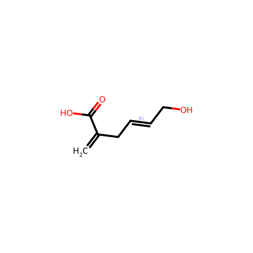 C=C(C/C=C/CO)C(=O)O